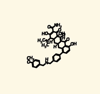 COc1ccc(CNCc2ccc(-c3ccc(O)c4c3C[C@H]3C[C@H]5C(N(C)C)C(O)=C(C(N)=O)C(=O)[C@]5(O)C(O)=C3C4=O)cc2)cc1